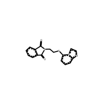 O=C1c2ccccc2C(=O)N1CCSc1cccc2nccn12